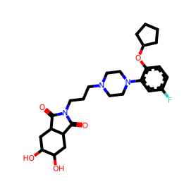 O=C1C2CC(O)C(O)CC2C(=O)N1CCCN1CCN(c2cc(F)ccc2OC2CCCC2)CC1